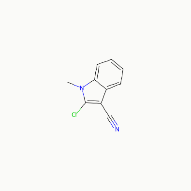 Cn1c(Cl)c(C#N)c2ccccc21